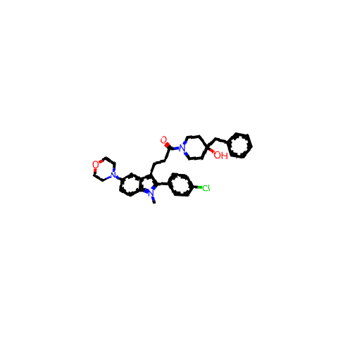 Cn1c(-c2ccc(Cl)cc2)c(CCC(=O)N2CCC(O)(Cc3ccccc3)CC2)c2cc(N3CCOCC3)ccc21